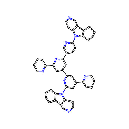 c1ccc(-c2cc(-c3cc(-c4ccc(-n5c6ccccc6c6cnccc65)nc4)nc(-c4ccccn4)c3)nc(-n3c4ccccc4c4cnccc43)c2)nc1